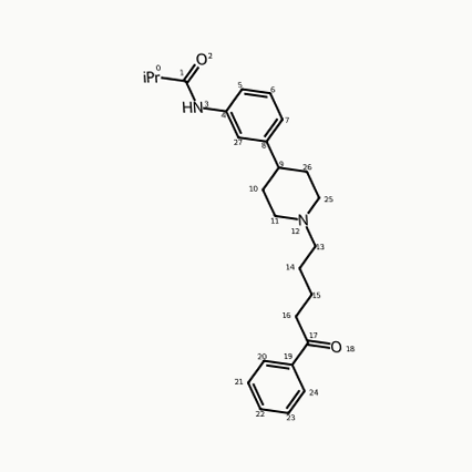 CC(C)C(=O)Nc1cccc(C2CCN(CCCCC(=O)c3ccccc3)CC2)c1